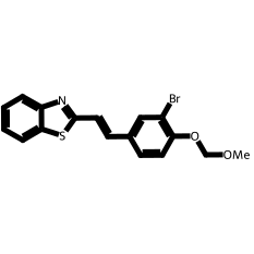 COCOc1ccc(C=Cc2nc3ccccc3s2)cc1Br